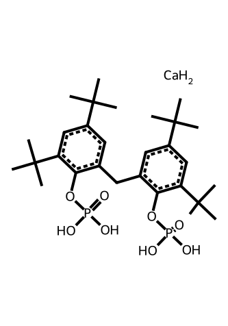 CC(C)(C)c1cc(Cc2cc(C(C)(C)C)cc(C(C)(C)C)c2OP(=O)(O)O)c(OP(=O)(O)O)c(C(C)(C)C)c1.[CaH2]